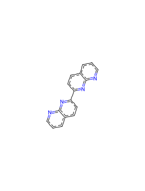 c1cnc2nc(-c3ccc4cccnc4n3)ccc2c1